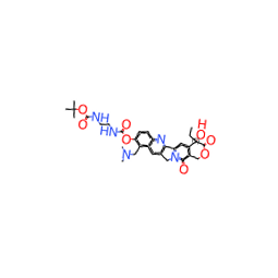 CC[C@@]1(O)C(=O)OCc2c1cc1n(c2=O)Cc2cc3c(CN(C)C)c(OC(=O)NCCNC(=O)OC(C)(C)C)ccc3nc2-1